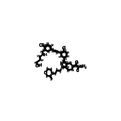 CC1COCCN1CCCn1nc(-c2ccc(Cl)c(C#Cc3ccc(Cl)c(CNCCCO)c3)c2)c2c1CCN(C(=O)C(N)=O)C2